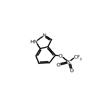 O=S(=O)(Oc1cccc2[nH]ncc12)C(F)(F)F